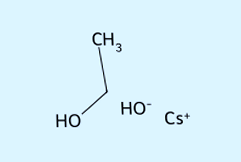 CCO.[Cs+].[OH-]